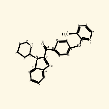 Cc1cccnc1Oc1ccc(C(=O)c2nc3ccccc3n2C2CCCCO2)cc1